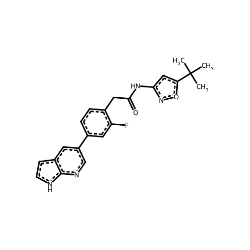 CC(C)(C)c1cc(NC(=O)Cc2ccc(-c3cnc4[nH]ccc4c3)cc2F)no1